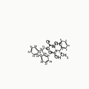 C[C@@H](c1ccccc1)[C@H](C(=O)O)N(C)C(=O)OCC1c2ccccc2-c2ccccc21